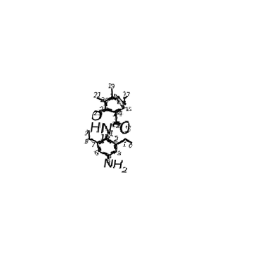 CCc1cc(N)cc(CC)c1NC(=O)c1cn(C)c(C)c(C)c1=O